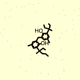 CCCC(C)(CC)c1cc(C)cc(Cc2cc(C)cc(C(C)(CC)CC)c2O)c1O